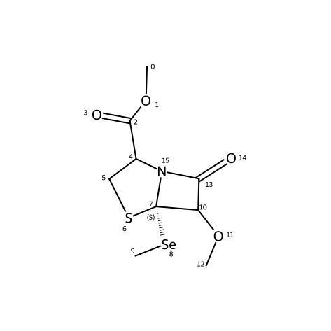 COC(=O)C1CS[C@]2([Se]C)C(OC)C(=O)N12